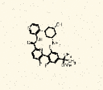 COC(C)(C)c1cc(F)c(-c2nc(C(=O)Nc3cnccc3[C@@H]3C[C@H](C)C[C@H](N)C3)ccc2F)c(F)c1